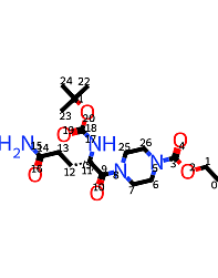 CCOC(=O)N1CCN(C(=O)[C@H](CCC(N)=O)NC(=O)OC(C)(C)C)CC1